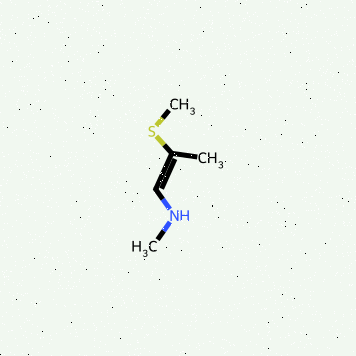 CN/C=C(\C)SC